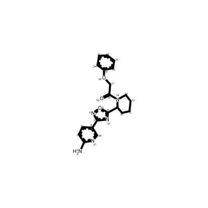 Nc1ccc(-c2noc(C3CCCCN3C(=O)COc3ccccc3)n2)cn1